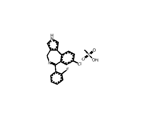 CS(=O)(=O)O.Fc1ccccc1C1=NCc2c[nH]cc2-c2ccc(Cl)cc21